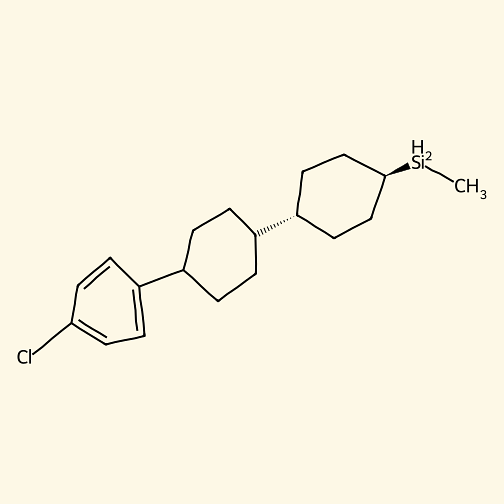 C[SiH2][C@H]1CC[C@H](C2CCC(c3ccc(Cl)cc3)CC2)CC1